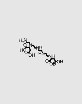 NCCN(CCNCCNCCNC(CC(=O)O)C(=O)O)C(CC(=O)O)C(=O)O